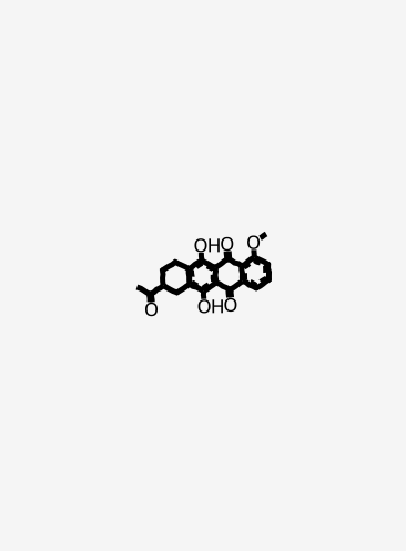 COc1cccc2c1C(=O)c1c(O)c3c(c(O)c1C2=O)CC(C(C)=O)CC3